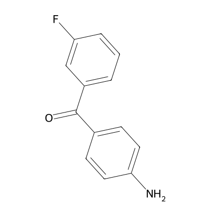 Nc1ccc(C(=O)c2cccc(F)c2)cc1